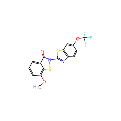 COc1cccc2c(=O)n(-c3nc4ccc(OC(F)(F)F)cc4s3)sc12